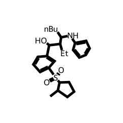 CCCCC(Nc1ccccc1)C(CC)C(O)c1cccc(S(=O)(=O)C2CCCC2C)c1